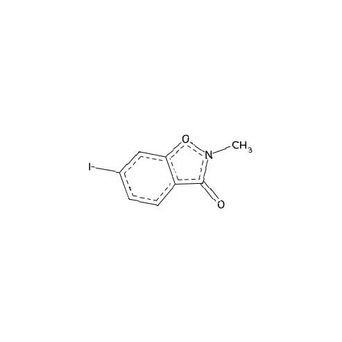 Cn1oc2cc(I)ccc2c1=O